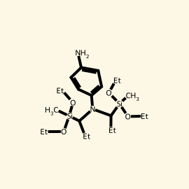 CCO[Si](C)(OCC)C(CC)N(c1ccc(N)cc1)C(CC)[Si](C)(OCC)OCC